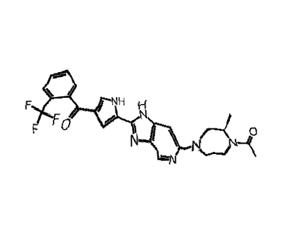 CC(=O)N1CCN(c2cc3[nH]c(-c4cc(C(=O)c5ccccc5C(F)(F)F)c[nH]4)nc3cn2)C[C@H]1C